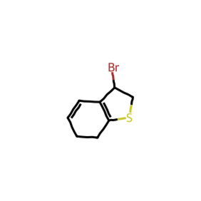 BrC1CSC2=C1C=CCC2